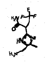 Cc1nc(C(CC(F)(F)F)C(N)=O)[nH]c1CN